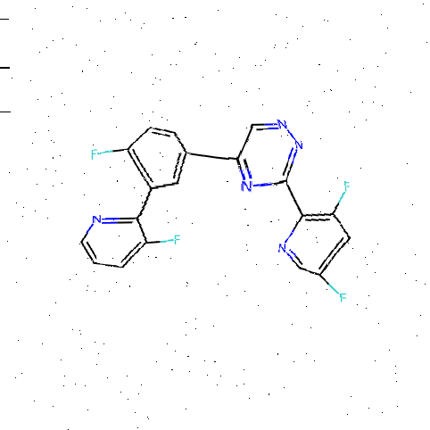 Fc1cnc(-c2nncc(-c3ccc(F)c(-c4ncccc4F)c3)n2)c(F)c1